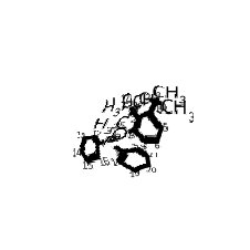 CC(C)(C)c1cccc(OP(c2ccccc2)c2ccccc2)c1C(C)(C)C